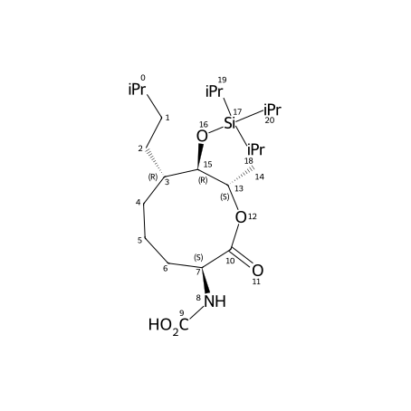 CC(C)CC[C@H]1CCC[C@H](NC(=O)O)C(=O)O[C@@H](C)[C@@H]1O[Si](C(C)C)(C(C)C)C(C)C